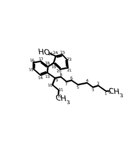 CCCCCCCCCC(CCC)c1ccccc1-c1ccccc1O